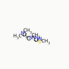 Cc1cc([C@H]2CCCN([C@H](C)c3ccc4sc(C)nc4n3)C2)cc(C)n1